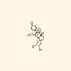 C[C@]12C[C@H](O)[C@@]3(F)[C@@H](CCC4=CC(=O)C=C[C@@]43C)[C@@H]1CCC2(SCC1CC1)SCC1CC1